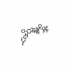 O=C(COC(F)(F)F)NCc1cc2cc(Cl)c(N3Cc4ccc(F)cc4C3)cc2[nH]1